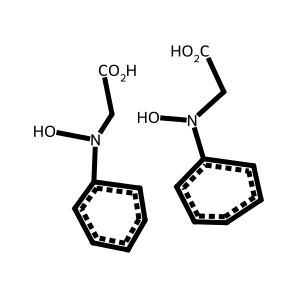 O=C(O)CN(O)c1ccccc1.O=C(O)CN(O)c1ccccc1